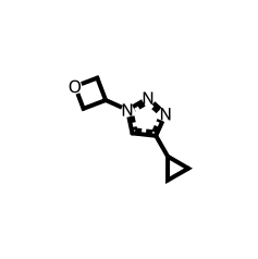 c1c(C2CC2)nnn1C1COC1